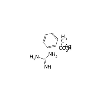 CC(=O)O.N=C(N)N.[Ag].c1ccccc1